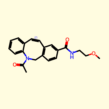 COCCNC(=O)c1ccc2c(c1)/C=C\c1ccccc1N(C(C)=O)C2